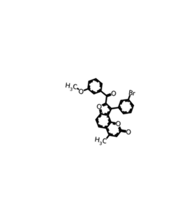 COc1cccc(C(=O)c2oc3ccc4c(C)cc(=O)oc4c3c2-c2cccc(Br)c2)c1